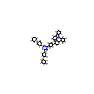 c1ccc(-c2ccc(-c3nc(-c4ccc(-c5ccccc5)cc4)nc(-c4ccc(-c5ccc(-c6ccccc6-n6c7ccccc7c7ccccc76)cc5)cc4)n3)cc2)cc1